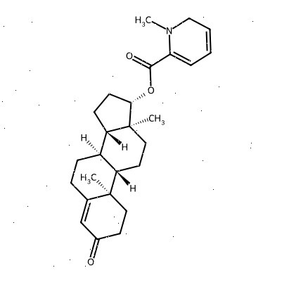 CN1CC=CC=C1C(=O)O[C@H]1CC[C@H]2[C@@H]3CCC4=CC(=O)CC[C@]4(C)[C@H]3CC[C@]12C